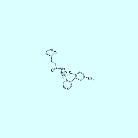 O=C(CCc1ccco1)N/N=C/c1ccccc1-c1cc(C(F)(F)F)ccc1S(=O)(=O)O